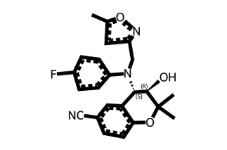 Cc1cc(CN(c2ccc(F)cc2)[C@H]2c3cc(C#N)ccc3OC(C)(C)[C@@H]2O)no1